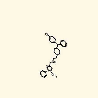 Cc1cc(CNCCN2CCN(C(c3ccccc3)c3ccc(Cl)cc3)CC2)nn1-c1ccccc1